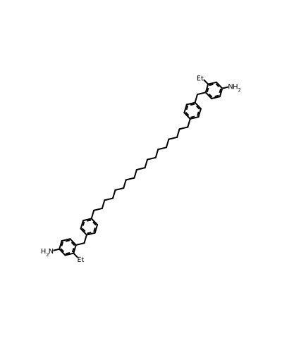 CCc1cc(N)ccc1Cc1ccc(CCCCCCCCCCCCCCCCCCc2ccc(Cc3ccc(N)cc3CC)cc2)cc1